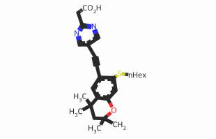 CCCCCCSc1cc2c(cc1C#Cc1cnc(CC(=O)O)nc1)C(C)(C)CC(C)(C)O2